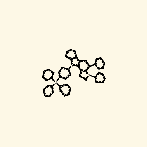 c1ccc(-c2cc3c4ccccc4n(-c4ccc([Si](c5ccccc5)(c5ccccc5)c5ccccc5)cc4)c3c3ccn(-c4ccccc4)c23)cc1